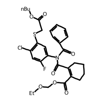 CCCCOC(=O)CSc1cc(N(C(=O)C2=C(C(=O)OCOCC)CCCC2)C(=O)c2ccccc2)c(F)cc1Cl